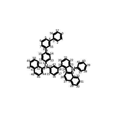 c1ccc(-c2cccc(-c3ccc(N(c4cccc(-c5cccc6c5c5ccc7ccccc7c5n6-c5ccccc5)c4)c4cccc5ccccc45)cc3)c2)cc1